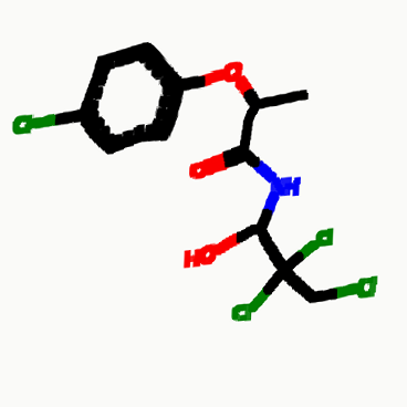 CC(Oc1ccc(Cl)cc1)C(=O)NC(O)C(Cl)(Cl)CCl